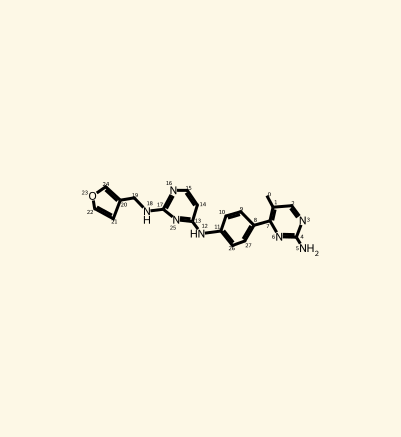 Cc1cnc(N)nc1-c1ccc(Nc2ccnc(NCc3ccoc3)n2)cc1